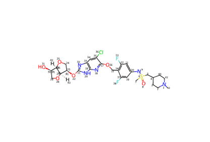 CN1CCC(CS(C)(=O)=Nc2cc(F)c(COc3nc4[nH]c(O[C@@H]5CO[C@H]6[C@@H]5OC[C@H]6O)nc4cc3Cl)c(F)c2)CC1